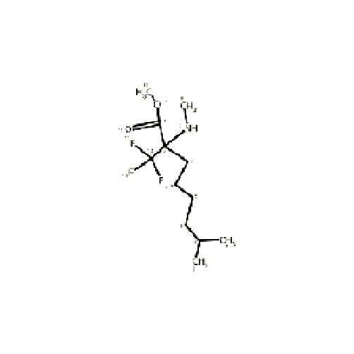 CNC(CCCCC(C)C)(C(=O)OC)C(F)(F)F